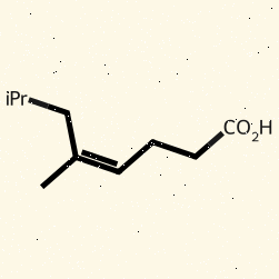 CC(=CCCC(=O)O)CC(C)C